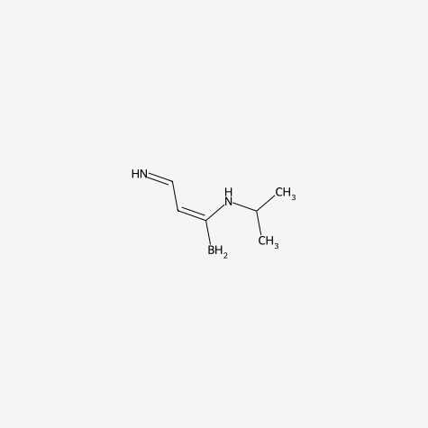 B/C(=C/C=N)NC(C)C